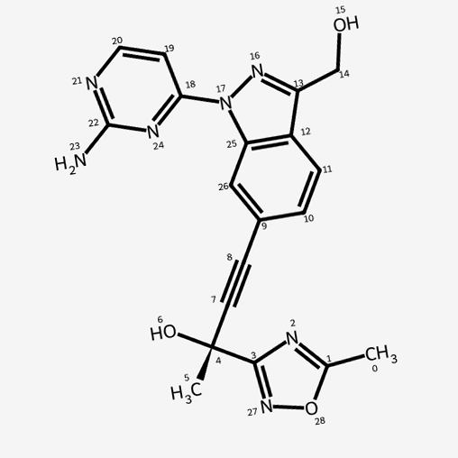 Cc1nc([C@](C)(O)C#Cc2ccc3c(CO)nn(-c4ccnc(N)n4)c3c2)no1